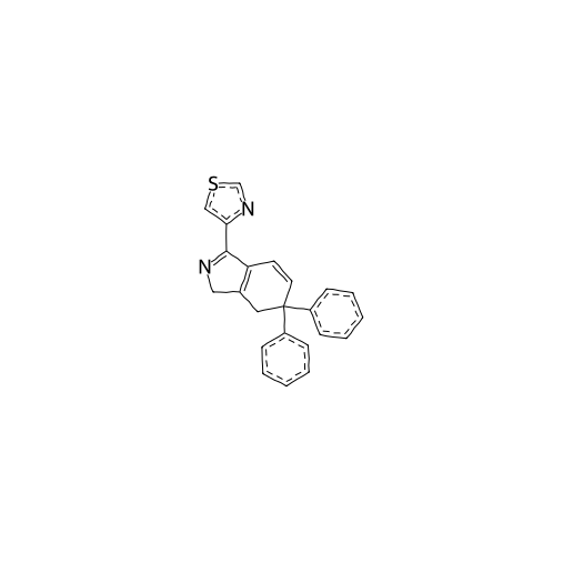 C1=CC(c2ccccc2)(c2ccccc2)CC2=C1C(c1cscn1)=NC2